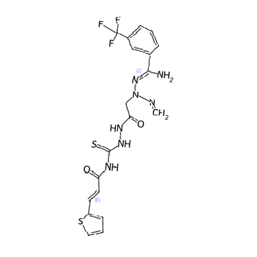 C=NN(CC(=O)NNC(=S)NC(=O)/C=C/c1cccs1)/N=C(\N)c1cccc(C(F)(F)F)c1